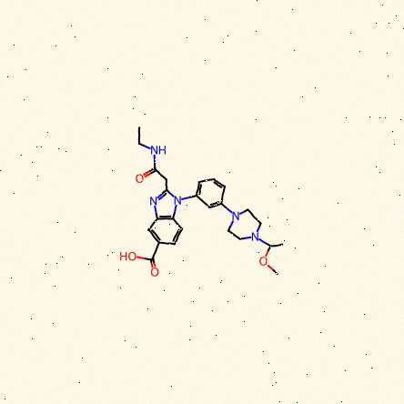 CCNC(=O)Cc1nc2cc(C(=O)O)ccc2n1-c1cccc(N2CCN(C(C)OC)CC2)c1